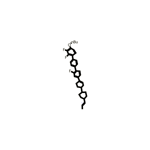 C/C=C/C1CCC(C2CC=C(c3ccc(-c4ccc(-c5ccc(OCCCC)c(F)c5F)cc4)c(F)c3)CC2)CC1